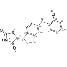 O=C1NC(=O)/C(=C2\CCc3cc(Oc4ccc(Cl)cc4Cl)ccc32)S1